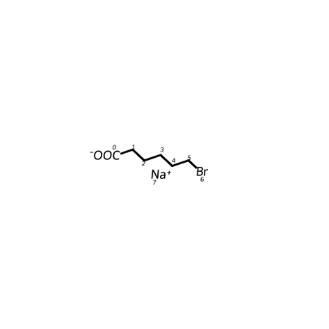 O=C([O-])CCCCCBr.[Na+]